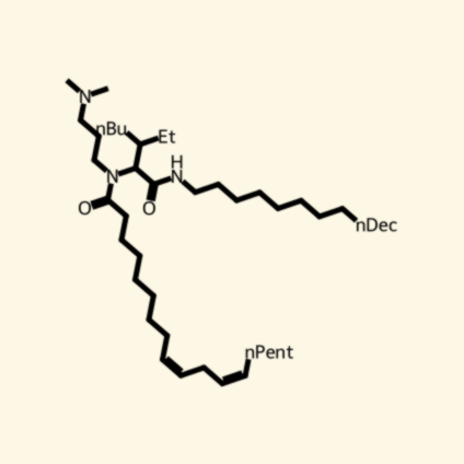 CCCCC/C=C\C/C=C\CCCCCCCC(=O)N(CCCN(C)C)C(C(=O)NCCCCCCCCCCCCCCCCCC)C(CC)CCCC